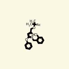 CC(=O)C(C)(C)OCc1cc(Oc2ccccc2)n(Cc2ccccc2Cl)n1